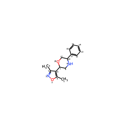 Cc1noc(C)c1C1CNC(c2ccccc2)CO1